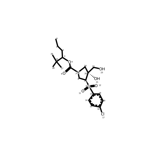 CCCC(OC(=O)N1C[C@H](S(=O)(=O)c2ccc(Cl)cc2)[C@](O)(CO)C1)C(C)(C)C